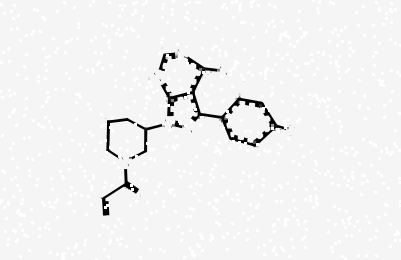 C=CC(=O)N1CCCC(n2nc(-c3ccc(Br)cc3)c3c(N)ncnc32)C1